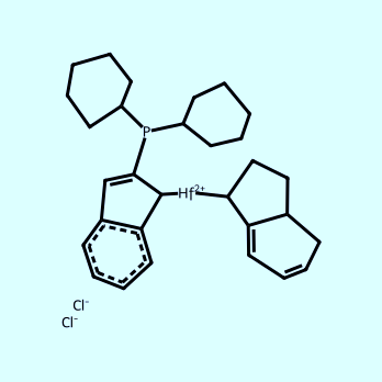 C1=CCC2CC[CH]([Hf+2][CH]3C(P(C4CCCCC4)C4CCCCC4)=Cc4ccccc43)C2=C1.[Cl-].[Cl-]